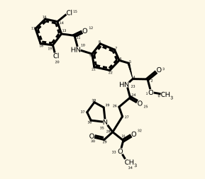 COC(=O)[C@H](Cc1ccc(NC(=O)c2c(Cl)cccc2Cl)cc1)NC(=O)CCC(C=O)(C(=O)OC)N1CCCC1